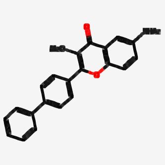 COc1c(-c2ccc(-c3ccccc3)cc2)oc2ccc(NC(C)=O)cc2c1=O